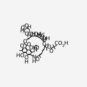 CC(=O)O[C@H]1[C@H](C)[C@H](O)[C@H](C)C[C@@H](C(C)OC(=O)C(C)(C)CC(=O)O)/C=C/C=C(/C)C(=O)Nc2c(CN3CCCC3)c(O)c3c4c(c(C)c(O)c3c2O)O[C@](C)(O/C=C/[C@H](O[C@H]2C[C@@H]3OCO[C@@H]3[C@@H](C)O2)[C@H]1C)C4=O